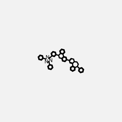 C1=C(c2ccc3c(c2)-c2ccccc2C(c2cccc(-c4nc(-c5ccccc5)nc(-c5ccccc5)n4)c2)C3)C=C2c3ccccc3C(c3ccccc3)CCC2C1